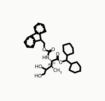 C[C@@H](C(O)CO)[C@H](NC(=O)OCC1c2ccccc2-c2ccccc21)C(=O)OC(C1CCCCC1)C1CCCCC1